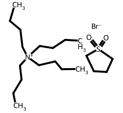 CCCC[N+](CCCC)(CCCC)CCCC.O=S1(=O)CCCC1.[Br-]